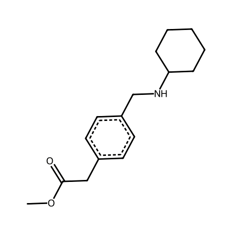 COC(=O)Cc1ccc(CNC2CCCCC2)cc1